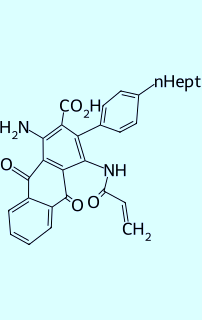 C=CC(=O)Nc1c2c(c(N)c(C(=O)O)c1-c1ccc(CCCCCCC)cc1)C(=O)c1ccccc1C2=O